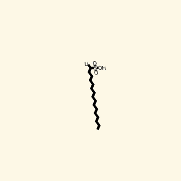 [Li][CH](CCCCCCCCCCCCCCC)S(=O)(=O)O